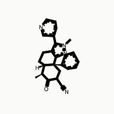 C[C@@H]1C(=O)C(C#N)C[C@@]2(c3ccccc3)c3nn(C)c(-c4cccnc4)c3CC[C@@H]12